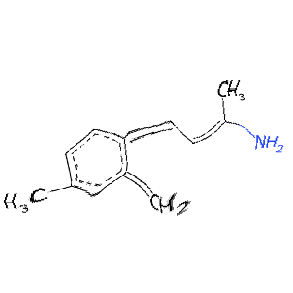 C=c1cc(C)cc/c1=C/C=C(\C)N